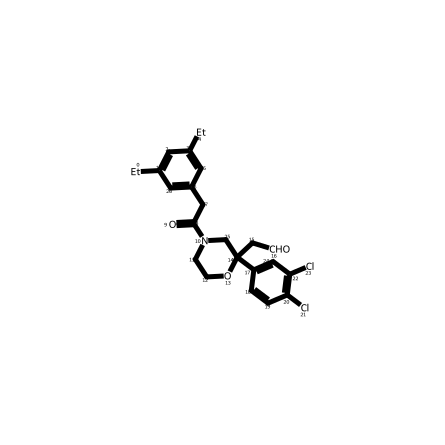 CCc1cc(CC)cc(CC(=O)N2CCOC(CC=O)(c3ccc(Cl)c(Cl)c3)C2)c1